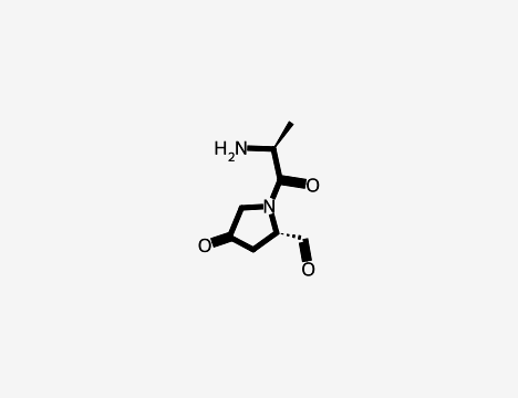 C[C@H](N)C(=O)N1CC(=O)C[C@H]1C=O